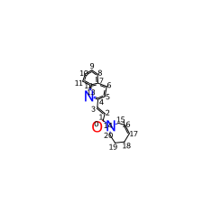 O=C(/C=C/c1ccc2ccccc2n1)N1CC=CCCC1